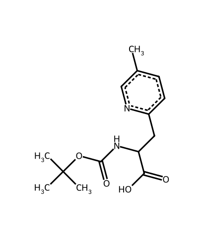 Cc1ccc(CC(NC(=O)OC(C)(C)C)C(=O)O)nc1